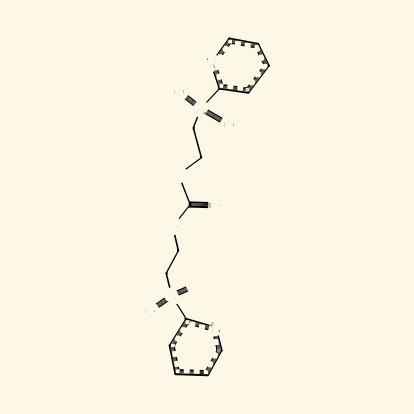 O=C(OCCS(=O)(=O)c1ccccn1)OCCS(=O)(=O)c1ccccn1